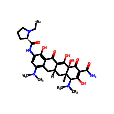 CN(C)c1cc(NC(=O)[C@@H]2CCCN2CC(C)(C)C)c(O)c2c1C[C@H]1C[C@H]3[C@H](N(C)C)C(O)=C(C(N)=O)C(=O)[C@@]3(O)C(O)=C1C2=O